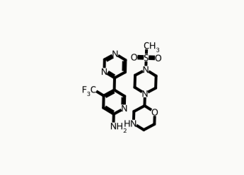 CS(=O)(=O)N1CCN(C2CNCCO2)CC1.Nc1cc(C(F)(F)F)c(-c2ccncn2)cn1